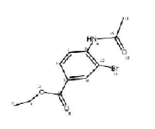 CCOC(=O)c1ccc(NC(C)=O)c(Br)c1